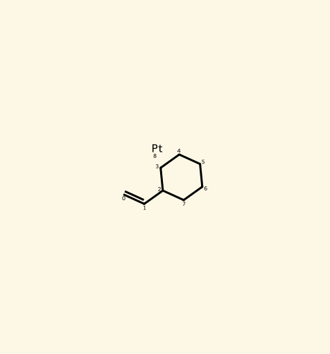 C=CC1CCCCC1.[Pt]